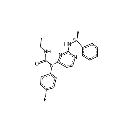 CCNC(=O)N(c1ccc(F)cc1)c1ccnc(N[C@@H](C)c2ccccc2)n1